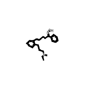 CCN(C)CCCc1ccccc1CCCCC(=NO)c1ccccc1